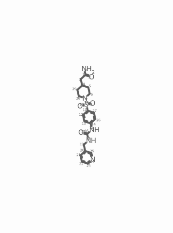 NC(=O)CC1CCN(S(=O)(=O)c2ccc(NC(=O)NCc3cccnc3)cc2)CC1